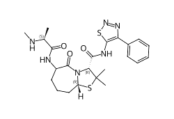 CN[C@@H](C)C(=O)NC1CCC[C@H]2SC(C)(C)[C@@H](C(=O)Nc3snnc3-c3ccccc3)N2C1=O